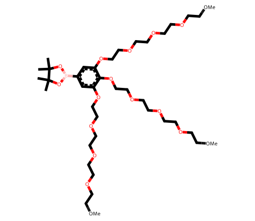 COCCOCCOCCOCCOc1cc(B2OC(C)(C)C(C)(C)O2)cc(OCCOCCOCCOCCOC)c1OCCOCCOCCOCCOC